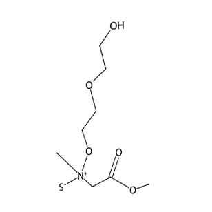 COC(=O)C[N+](C)([S-])OCCOCCO